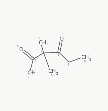 CCC(=O)C(C)(C)C(=O)O